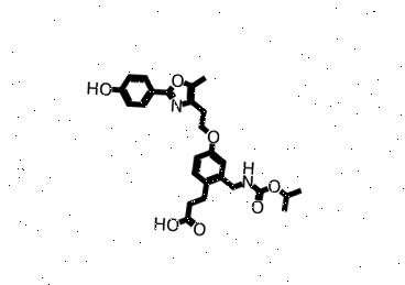 Cc1oc(-c2ccc(O)cc2)nc1CCOc1ccc(CCC(=O)O)c(CNC(=O)OC(C)C)c1